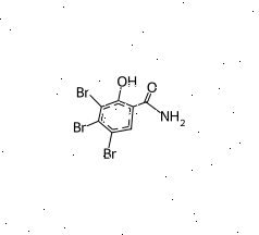 NC(=O)c1cc(Br)c(Br)c(Br)c1O